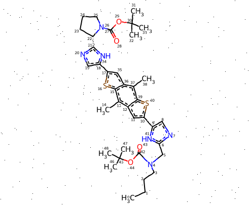 CCCCN(Cc1ncc(-c2cc3c(C)c4sc(-c5cnc([C@@H]6CCCN6C(=O)OC(C)(C)C)[nH]5)cc4c(C)c3s2)[nH]1)C(=O)OC(C)(C)C